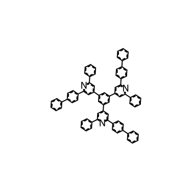 c1ccc(-c2ccc(-c3cc(-c4cc(-c5cc(-c6ccccc6)nc(-c6ccc(-c7ccccc7)cc6)c5)cc(-c5cc(-c6ccccc6)nc(-c6ccc(-c7ccccc7)cc6)c5)c4)cc(-c4ccccc4)n3)cc2)cc1